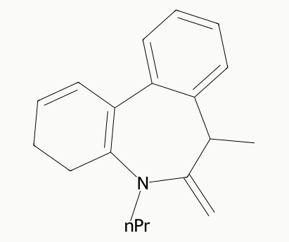 C=C1C(C)c2ccccc2C2=C(CCC=C2)N1CCC